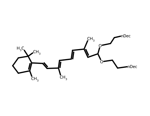 CCCCCCCCCCCCOC(C=C(C)C=CC=C(C)C=CC1=C(C)CCCC1(C)C)OCCCCCCCCCCCC